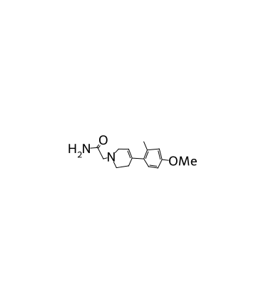 COc1ccc(C2=CCN(CC(N)=O)CC2)c(C)c1